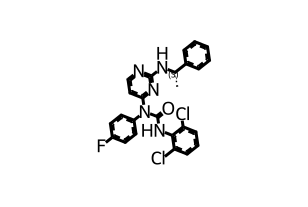 C[C@H](Nc1nccc(N(C(=O)Nc2c(Cl)cccc2Cl)c2ccc(F)cc2)n1)c1ccccc1